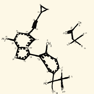 Cc1ccc(C(C)(O)C(F)(F)F)cc1-c1cnc2c(N)nc(C#CC3CC3)cn12.O=C(O)C(F)(F)F